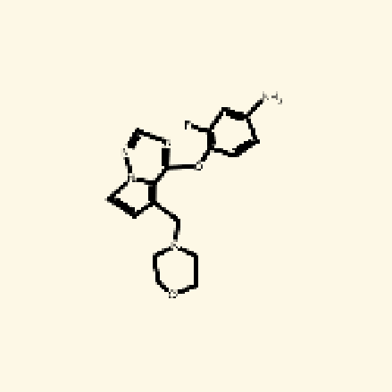 Nc1ccc(Oc2ncnn3ccc(CN4CCOCC4)c23)c(F)c1